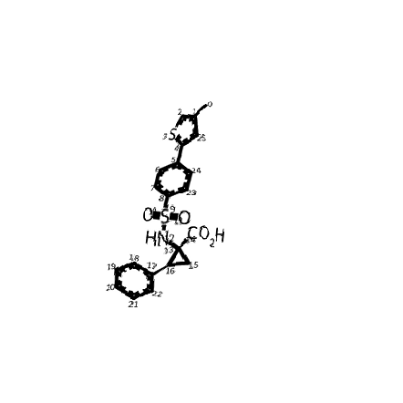 Cc1csc(-c2ccc(S(=O)(=O)N[C@]3(C(=O)O)C[C@H]3c3ccccc3)cc2)c1